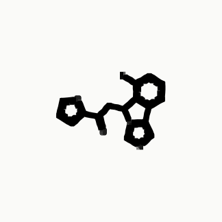 O=C(CC1c2c(F)cccc2-c2cncn21)c1ccco1